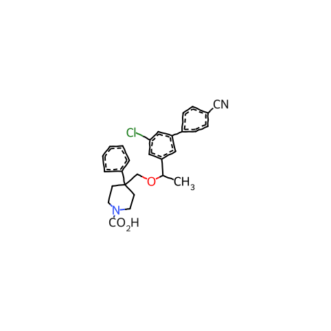 CC(OCC1(c2ccccc2)CCN(C(=O)O)CC1)c1cc(Cl)cc(-c2ccc(C#N)cc2)c1